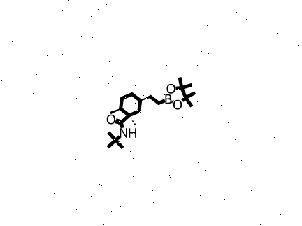 C[C@H]1CC[C@@H](CCB2OC(C)(C)C(C)(C)O2)C[C@@]1(C)C(=O)NC(C)(C)C